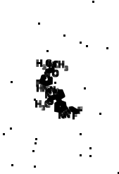 COc1nc(N[C@H]2CCN(CC(=O)N(C)C)C[C@H]2F)nn2ccc(-c3ccc4nnn(CC(F)F)c4c3)c12